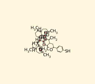 C=C(C[C@H]1OC2O[C@]3(C)CC[C@H]4[C@H](C)CC[C@@H]([C@H]1C)[C@@]24OO3)C(CC(=O)c1ccc(S)cc1)C(=C)C[C@H]1O[C@@H]2O[C@]3(C)CC[C@H]4[C@H](C)CC[C@@H]([C@H]1C)[C@@]24OO3